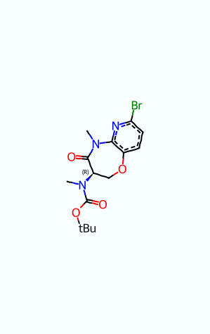 CN1C(=O)[C@H](N(C)C(=O)OC(C)(C)C)COc2ccc(Br)nc21